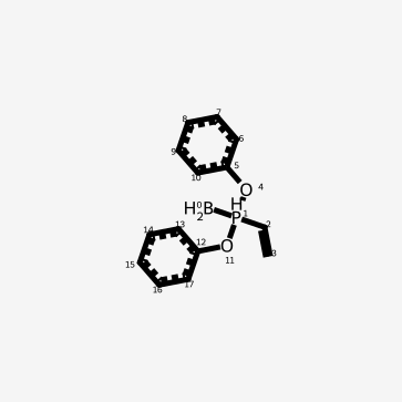 B[PH](C=C)(Oc1ccccc1)Oc1ccccc1